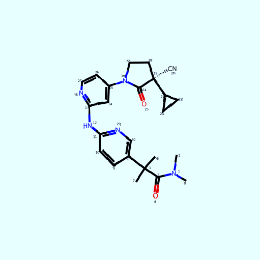 CN(C)C(=O)C(C)(C)c1ccc(Nc2cc(N3CC[C@@](C#N)(C4CC4)C3=O)ccn2)nc1